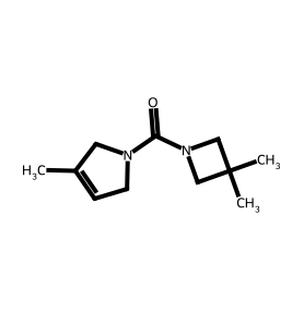 CC1=CCN(C(=O)N2CC(C)(C)C2)C1